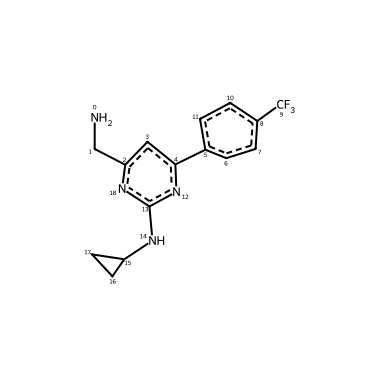 NCc1cc(-c2ccc(C(F)(F)F)cc2)nc(NC2CC2)n1